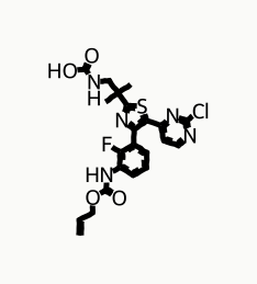 C=CCOC(=O)Nc1cccc(-c2nc(C(C)(C)CNC(=O)O)sc2-c2ccnc(Cl)n2)c1F